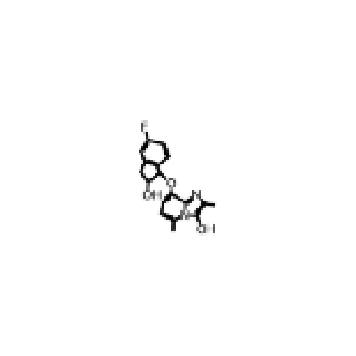 Cc1nc2c(OC3c4ccc(F)cc4CC3O)ccc(C)n2c1O